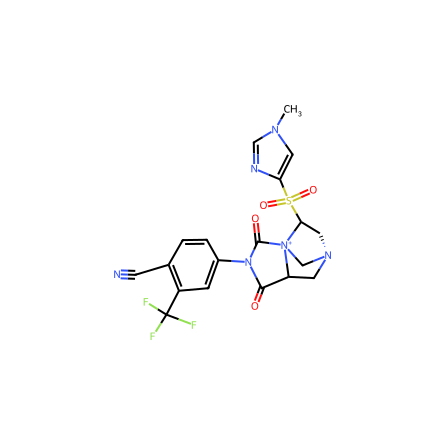 Cn1cnc(S(=O)(=O)C2C[N@]3CC4C(=O)N(c5ccc(C#N)c(C(F)(F)F)c5)C(=O)[N+]42C3)c1